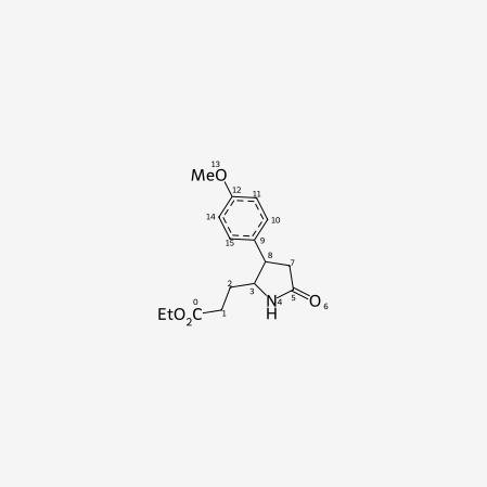 CCOC(=O)CCC1NC(=O)CC1c1ccc(OC)cc1